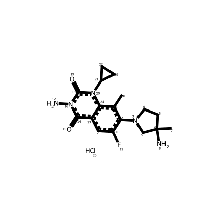 Cc1c(N2CCC(C)(N)C2)c(F)cc2c(=O)n(N)c(=O)n(C3CC3)c12.Cl